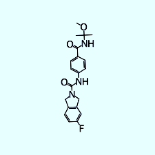 COC(C)(C)NC(=O)c1ccc(NC(=O)N2Cc3ccc(F)cc3C2)cc1